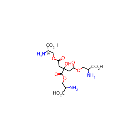 NC(COC(=O)CC(O)(CC(=O)OC[C@H](N)C(=O)O)C(=O)OCC(N)C(=O)O)C(=O)O